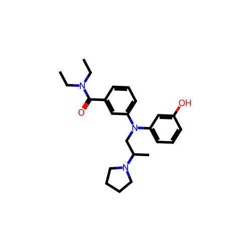 CCN(CC)C(=O)c1cccc(N(CC(C)N2CCCC2)c2cccc(O)c2)c1